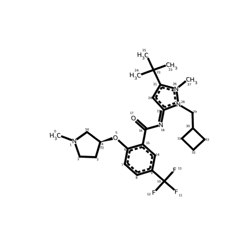 CN1CC[C@H](Oc2ccc(C(F)(F)F)cc2C(=O)N=c2cc(C(C)(C)C)n(C)n2CC2CCC2)C1